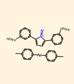 CCCCCCc1cccc(C2=CC=C(c3cccc(CCCCCC)c3)[N+]2=[N-])c1.Cc1cc[c]([Ni][c]2ccc(C)cc2)cc1